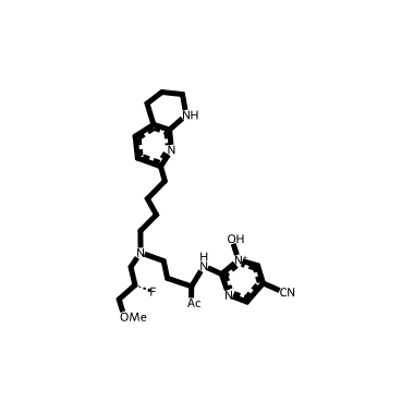 COC[C@@H](F)CN(CCCCc1ccc2c(n1)NCCC2)CCC(Nc1ncc(C#N)c[n+]1O)C(C)=O